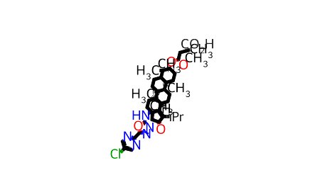 CC(C)C1=C2[C@H]3CCC4[C@@]5(C)CC[C@H](OC(=O)CC(C)(C)C(=O)O)C(C)(C)C5CC[C@@]4(C)[C@]3(C)CC[C@@]2(Nc2nnc(-c3ncc(Cl)cn3)o2)CC1=O